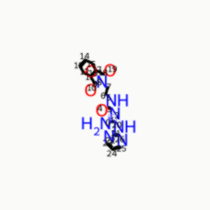 N/C(=N\C(=O)NCCN1C(=O)C2C3C=CC(O3)C2C1=O)Nc1ncccn1